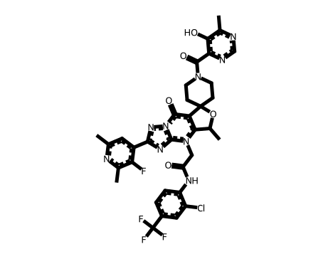 Cc1cc(-c2nc3n(CC(=O)Nc4ccc(C(F)(F)F)cc4Cl)c4c(c(=O)n3n2)C2(CCN(C(=O)c3ncnc(C)c3O)CC2)OC4C)c(F)c(C)n1